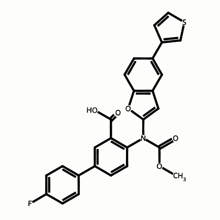 COC(=O)N(c1cc2cc(-c3ccsc3)ccc2o1)c1ccc(-c2ccc(F)cc2)cc1C(=O)O